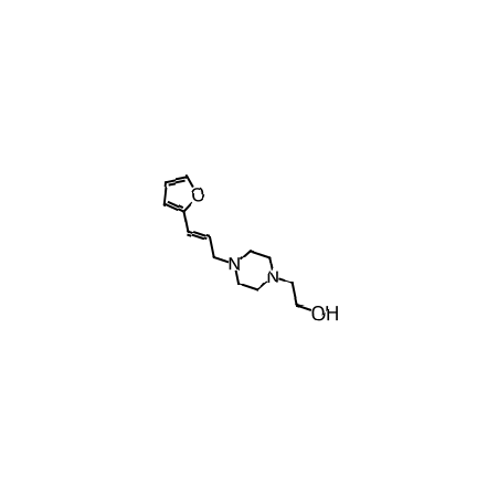 OCCN1CCN(CC=Cc2ccco2)CC1